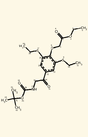 CCOC(=O)COc1c(SCC)cc(C(=O)CNC(=O)OC(C)(C)C)cc1SCC